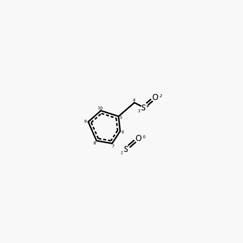 O=S.O=[S+]Cc1ccccc1